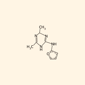 CC1=NC(C)N=C(Nc2ccco2)N1